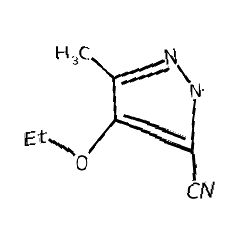 CCOC1=C(C#N)[N]N=C1C